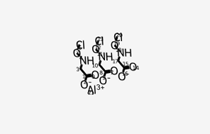 O=C([O-])CNOCl.O=C([O-])CNOCl.O=C([O-])CNOCl.[Al+3]